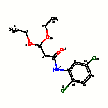 CCOC(CC(=O)Nc1cc(Cl)ccc1Cl)OCC